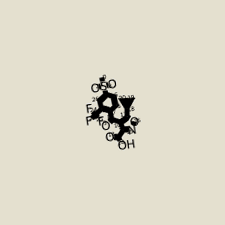 CS(=O)(=O)c1ccc(C(=O)c2c(C(=O)O)noc2C2CC2)c(C(F)(F)F)c1